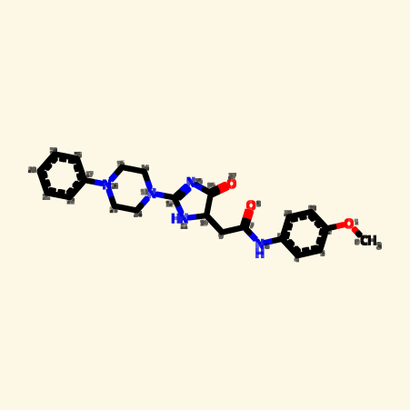 COc1ccc(NC(=O)CC2NC(N3CCN(c4ccccc4)CC3)=NC2=O)cc1